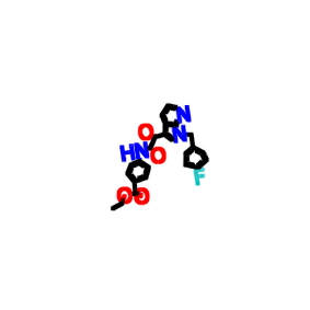 CCOC(=O)c1ccc(NC(=O)C(=O)c2cn(Cc3ccc(F)cc3)c3ncccc23)cc1